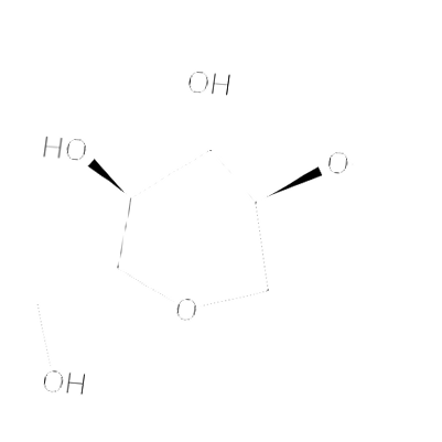 [O][C@H]1CO[C@H](CO)[C@@H](O)[C@@H]1O